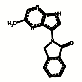 Cc1cnc2[nH]cc(N3Cc4ccccc4C3=O)c2n1